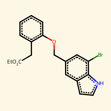 CCOC(=O)Cc1ccccc1OCc1cc(Br)c2[nH]ccc2c1